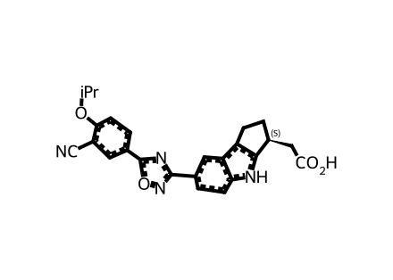 CC(C)Oc1ccc(-c2nc(-c3ccc4[nH]c5c(c4c3)CC[C@H]5CC(=O)O)no2)cc1C#N